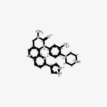 CN1Cc2cnc3ccc(-c4cn[nH]c4)nc3c2N(c2ccc(N3CCNCC3)c(C(F)(F)F)c2)C1=O